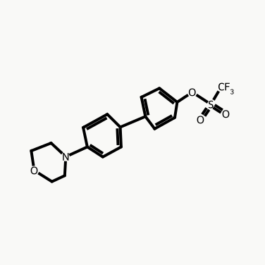 O=S(=O)(Oc1ccc(-c2ccc(N3CCOCC3)cc2)cc1)C(F)(F)F